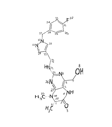 C[C@H]1C(=O)Nc2c(CO)nc(NCc3cnn(Cc4ccc(F)cc4)c3)nc2N1C